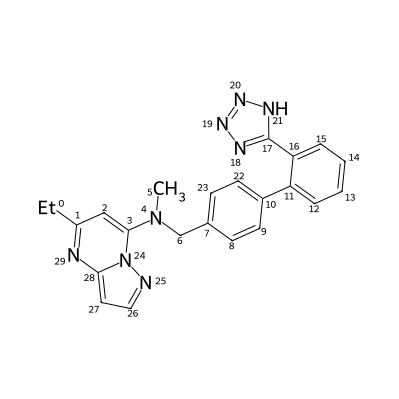 CCc1cc(N(C)Cc2ccc(-c3ccccc3-c3nnn[nH]3)cc2)n2nccc2n1